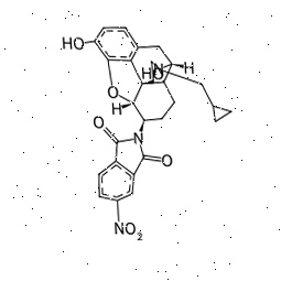 O=C1c2ccc([N+](=O)[O-])cc2C(=O)N1[C@@H]1CCC2(O)[C@H]3Cc4ccc(O)c5c4[C@@]2(CCN3CC2CC2)[C@H]1O5